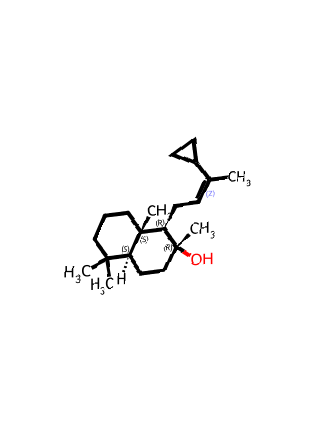 C/C(=C/C[C@@H]1[C@@]2(C)CCCC(C)(C)[C@@H]2CC[C@@]1(C)O)C1CC1